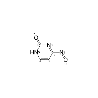 O=Nc1cc[nH]c(=O)n1